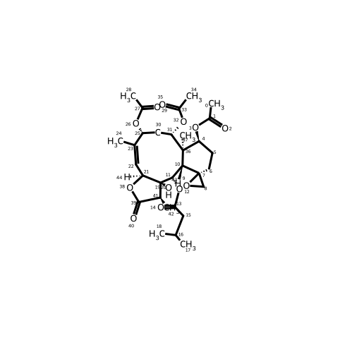 CC(=O)O[C@H]1CC[C@@]2(CO2)[C@@H]2[C@H](OC(=O)CC(C)C)[C@@]3(O)[C@H](/C=C(/C)[C@H](OC(C)=O)C[C@H](OC(C)=O)[C@@]12C)OC(=O)[C@@H]3C